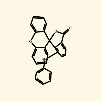 O=C1OC2(c3ccccc3Oc3ccccc32)c2c(Nc3ccccc3)cccc21